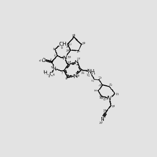 CCC1C(=O)N(C)c2cnc(NCCC3CCN(CC#N)CC3)nc2N1C1CCCC1